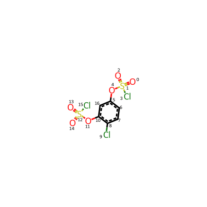 O=S(=O)(Cl)Oc1ccc(Cl)c(OS(=O)(=O)Cl)c1